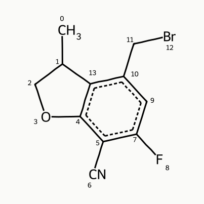 CC1COc2c(C#N)c(F)cc(CBr)c21